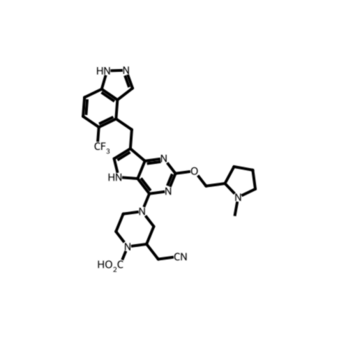 CN1CCCC1COc1nc(N2CCN(C(=O)O)C(CC#N)C2)c2[nH]cc(Cc3c(C(F)(F)F)ccc4[nH]ncc34)c2n1